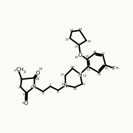 CC1CC(=O)N(CCCN2CCN(c3cc(F)ccc3OC3CCCC3)CC2)C1=O